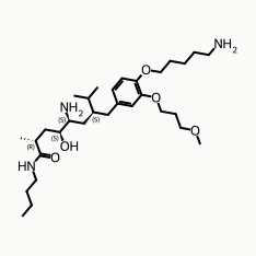 CCCCNC(=O)[C@H](C)C[C@H](O)[C@@H](N)C[C@H](Cc1ccc(OCCCCCN)c(OCCCOC)c1)C(C)C